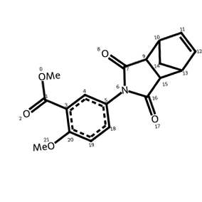 COC(=O)c1cc(N2C(=O)C3C4C=CC(C4)C3C2=O)ccc1OC